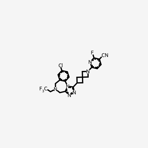 N#Cc1ccc(N2CC3(CC(c4nnc5n4-c4ccc(Cl)cc4CN(CC(F)(F)F)C5)C3)C2)nc1F